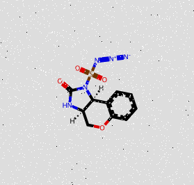 [N-]=[N+]=NS(=O)(=O)N1C(=O)N[C@@H]2COc3ccccc3[C@@H]21